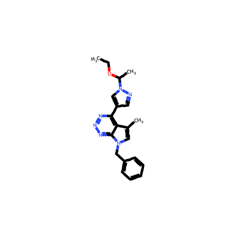 CCOC(C)n1cc(-c2nnnc3c2c(C)cn3Cc2ccccc2)cn1